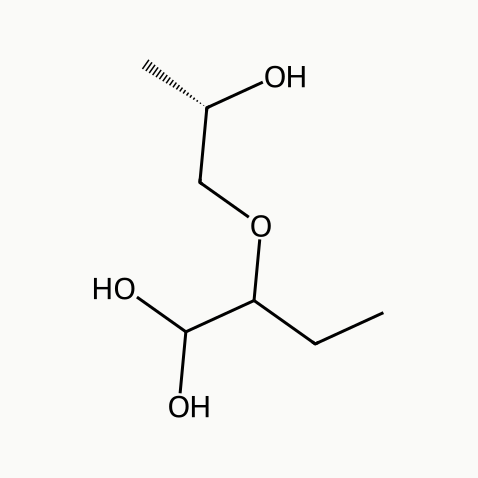 CCC(OC[C@H](C)O)C(O)O